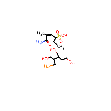 CCC(C=C(C)C(N)=O)S(=O)(=O)O.OCCC(CO)C(CO)CP